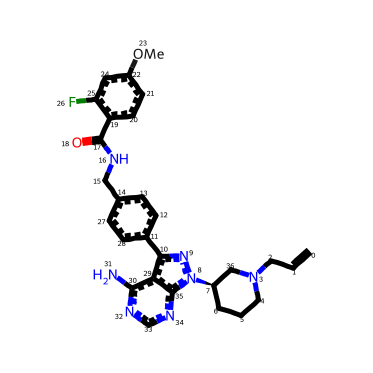 C=CCN1CCC[C@@H](n2nc(-c3ccc(CNC(=O)c4ccc(OC)cc4F)cc3)c3c(N)ncnc32)C1